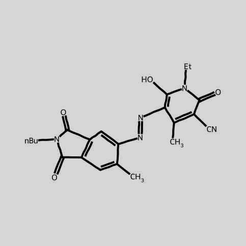 CCCCN1C(=O)c2cc(C)c(N=Nc3c(C)c(C#N)c(=O)n(CC)c3O)cc2C1=O